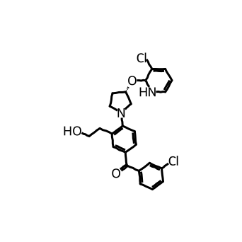 O=C(c1cccc(Cl)c1)c1ccc(N2CC[C@H](OC3NC=CC=C3Cl)C2)c(CCO)c1